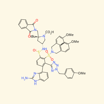 COc1ccc(CN(Cc2ccc(OC)cc2)S(=O)(=O)c2c([S+]([O-])N[C@H]3CN(C(=O)O)[C@](CN4C(=O)c5ccccc5C4=O)(C(C)(C)C)C3)ccc(-c3cccc4[nH]c(N)nc34)c2-c2nnn(Cc3ccc(OC)cc3)n2)cc1